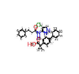 O=C(CCc1ccccc1)Nc1c(Cl)cnn1-c1cc(C2(C(=O)O)CC2)ccc1-c1ccccc1